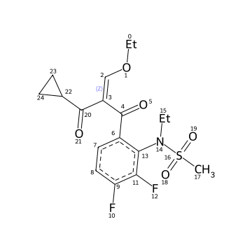 CCO/C=C(\C(=O)c1ccc(F)c(F)c1N(CC)S(C)(=O)=O)C(=O)C1CC1